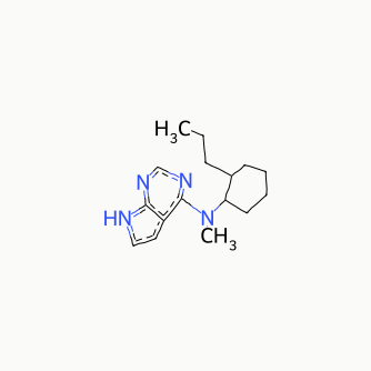 CCCC1CCCCC1N(C)c1ncnc2[nH]ccc12